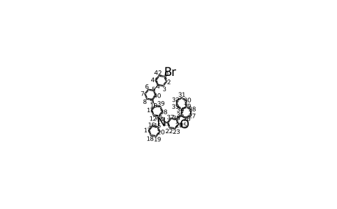 Brc1ccc(-c2cccc(-c3ccc(N(c4ccccc4)c4ccc5oc6ccc7ccccc7c6c5c4)cc3)c2)cc1